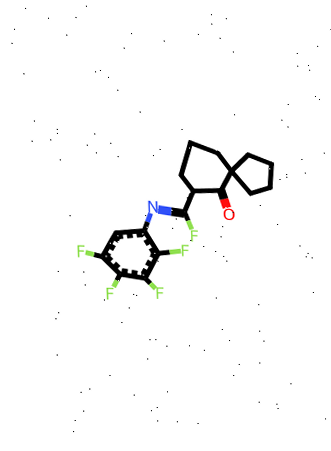 O=C1C(C(F)=Nc2cc(F)c(F)c(F)c2F)CCCC12CCCC2